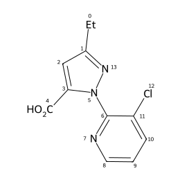 CCc1cc(C(=O)O)n(-c2ncccc2Cl)n1